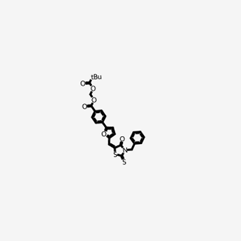 CC(C)(C)C(=O)OCOC(=O)c1ccc(-c2ccc(/C=C3/SC(=S)N(Cc4ccccc4)C3=O)o2)cc1